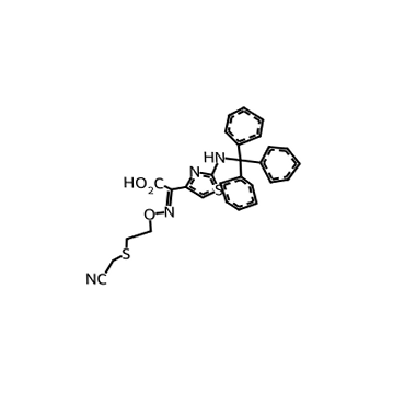 N#CCSCCO/N=C(\C(=O)O)c1csc(NC(c2ccccc2)(c2ccccc2)c2ccccc2)n1